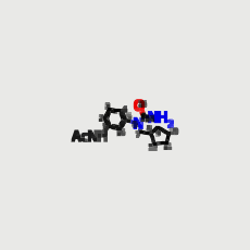 CC(=O)Nc1cccc(N(CC2CCCC2)C(N)=O)c1